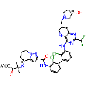 COC(=O)C(C)(C)N[C@H]1CCCn2nc(C(=O)Nc3cccc(-c4cccc(Nc5nc(C(F)F)nc6cc(CN7CC[C@@H](O)C7)cnc56)c4Cl)c3Cl)cc21